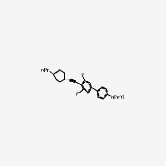 CCCCCc1ccc(-c2cc(F)c(C#C[C@H]3CC[C@H](CCC)CC3)c(F)c2)cc1